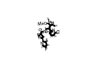 COc1c(C(CNC(=O)c2cc(-c3ncc(F)cc3F)no2)c2cccc(Cl)n2)c(C)nn1C